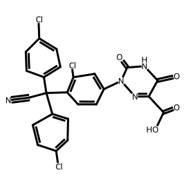 N#CC(c1ccc(Cl)cc1)(c1ccc(Cl)cc1)c1ccc(-n2nc(C(=O)O)c(=O)[nH]c2=O)cc1Cl